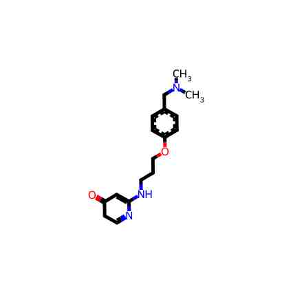 CN(C)Cc1ccc(OCCCNC2=CC(=O)CC=N2)cc1